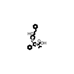 CC(C)[C@H](C(=O)O)N1C[C@H](CN2CCC(O)(CCCc3ccccc3)CC2)[C@@H](c2ccccc2)C1